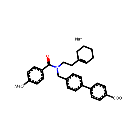 COc1ccc(C(=O)N(CCC2=CCCCC2)Cc2ccc(-c3ccc(C(=O)[O-])cc3)cc2)cc1.[Na+]